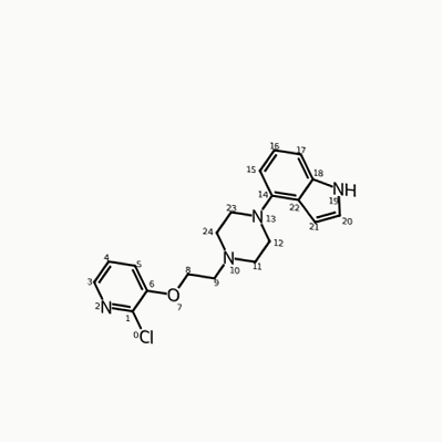 Clc1ncccc1OCCN1CCN(c2cccc3[nH]ccc23)CC1